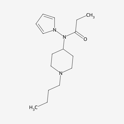 CCCCN1CCC(N(C(=O)CC)n2cccc2)CC1